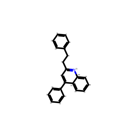 c1ccc(CCc2cc(-c3ccccc3)c3ccccc3n2)cc1